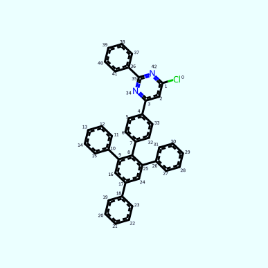 Clc1cc(-c2ccc(-c3c(-c4ccccc4)cc(-c4ccccc4)cc3-c3ccccc3)cc2)nc(-c2ccccc2)n1